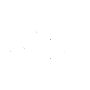 CCC1c2nnc(C)n2-c2cnc(-n3ccnc3C3C=CCC3)nc2N1C1CCCC1